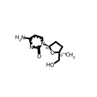 C[C@@]1(CO)CC[C@H](n2ccc(N)nc2=O)O1